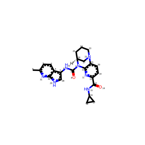 Cc1ccc2c(NC(=O)N3c4nc(C(=O)NC5CC5)ccc4N4CCC[C@H]3C4)c[nH]c2n1